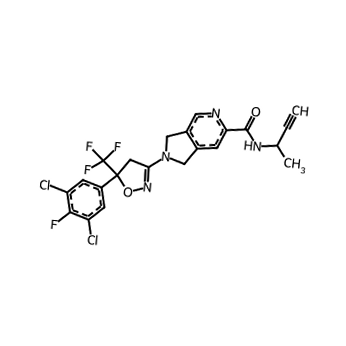 C#CC(C)NC(=O)c1cc2c(cn1)CN(C1=NOC(c3cc(Cl)c(F)c(Cl)c3)(C(F)(F)F)C1)C2